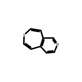 C1=Cc2ccncc2C=CS1